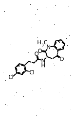 CN1C(=O)C(NC(=O)CCc2ccc(Cl)cc2Cl)CC(=O)c2ccccc21